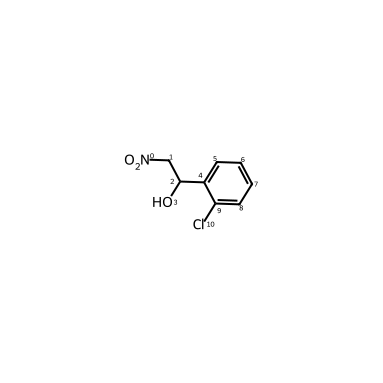 O=[N+]([O-])CC(O)c1ccccc1Cl